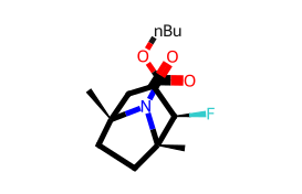 CCCCOC(=O)N1[C@]2(C)CC[C@@]1(C)[C@H](F)C(=O)C2